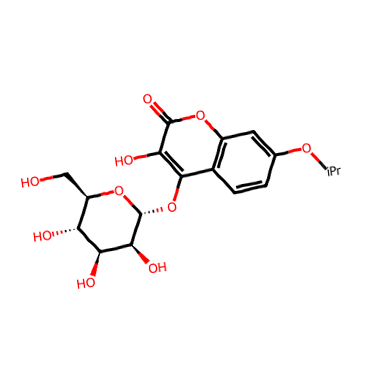 CC(C)Oc1ccc2c(O[C@H]3O[C@H](CO)[C@@H](O)[C@H](O)[C@@H]3O)c(O)c(=O)oc2c1